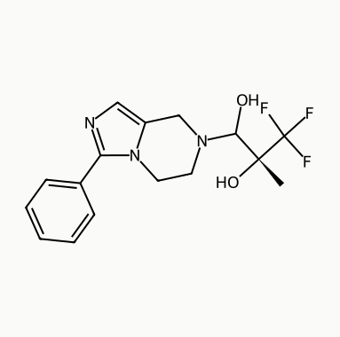 C[C@@](O)(C(O)N1CCn2c(cnc2-c2ccccc2)C1)C(F)(F)F